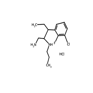 CCCNC(CN)C(CC)c1cccc(Cl)c1F.Cl